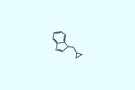 c1ccc2c(c1)ncn2CC1CC1